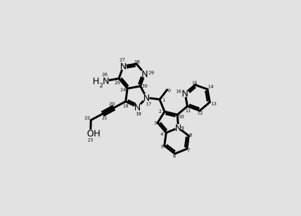 CC(c1cc2ccccn2c1-c1ccccn1)n1nc(C#CCO)c2c(N)ncnc21